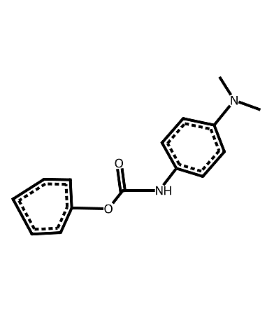 CN(C)c1ccc(NC(=O)Oc2ccccc2)cc1